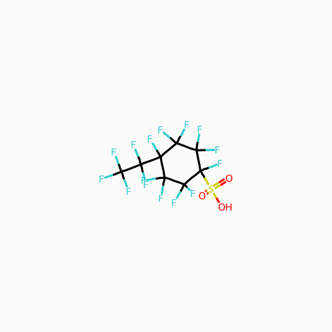 O=S(=O)(O)C1(F)C(F)(F)C(F)(F)C(F)(C(F)(F)C(F)(F)F)C(F)(F)C1(F)F